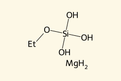 CCO[Si](O)(O)O.[MgH2]